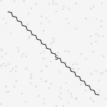 CCCCCCCCCCCCCCCCCCCCSCCCCCCCCCCCCCCCCC